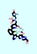 COc1nc(-c2cccc(-c3ccnc(-c4cc(OC)c5nc(C=O)cn5c4)c3Cl)c2Cl)ccc1CN(CC1CCC(=O)N1)C(=O)O